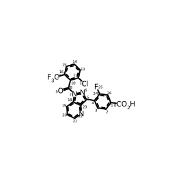 O=C(O)c1ccc(-c2nn(C(=O)c3c(Cl)cccc3C(F)(F)F)c3cccnc23)c(F)c1